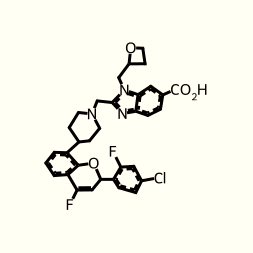 O=C(O)c1ccc2nc(CN3CCC(c4cccc5c4OC(c4ccc(Cl)cc4F)C=C5F)CC3)n(CC3CCO3)c2c1